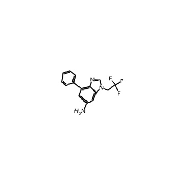 Nc1cc(-c2ccccc2)c2ncn(CC(F)(F)F)c2c1